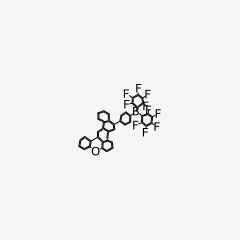 Fc1c(F)c(F)c(B(c2ccc(-c3cc4c5cccc6c5c(cc4c4ccccc34)-c3ccccc3O6)cc2)c2c(F)c(F)c(F)c(F)c2F)c(F)c1F